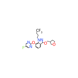 Fc1cnc(Oc2cccc3c(OCC4CCOC4)nn(CCCC(F)(F)F)c23)nc1